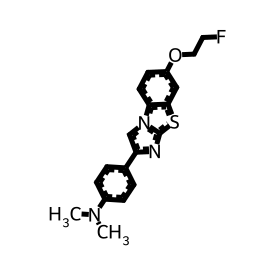 CN(C)c1ccc(-c2cn3c(n2)sc2cc(OCCF)ccc23)cc1